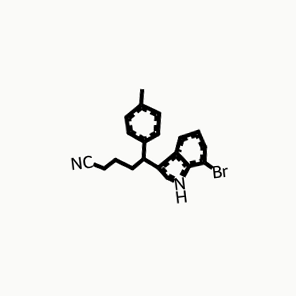 Cc1ccc(C(CCCC#N)c2c[nH]c3c(Br)cccc23)cc1